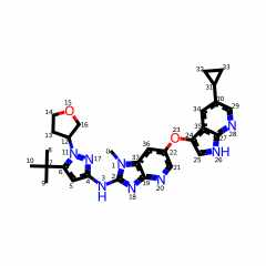 Cn1c(Nc2cc(C(C)(C)C)n(C3CCOC3)n2)nc2ncc(Oc3c[nH]c4ncc(C5CC5)cc34)cc21